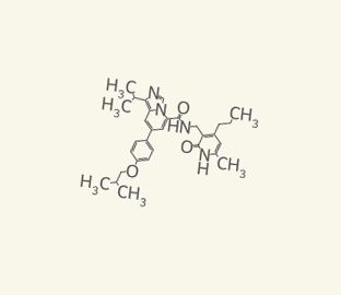 CCCc1cc(C)[nH]c(=O)c1CNC(=O)c1cc(-c2ccc(OCC(C)C)cc2)cc2c(C(C)C)ncn12